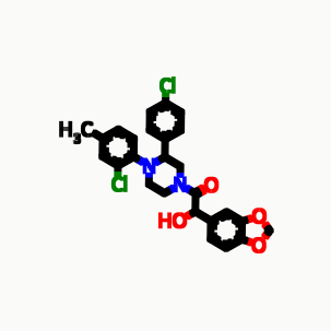 Cc1ccc(N2CCN(C(=O)C(O)c3ccc4c(c3)OCO4)CC2c2ccc(Cl)cc2)c(Cl)c1